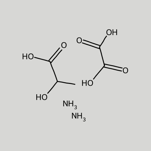 CC(O)C(=O)O.N.N.O=C(O)C(=O)O